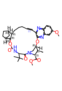 COC(=O)[C@@H]1[C@H](C)[C@@H]2CN1C(=O)C(C(C)(C)C)NC(=O)O[C@@H]1[C@H]3CC[C@H](C3)[C@H]1CCC/C=C/c1nc3ccc(OC)cc3nc1O2